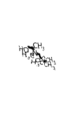 C[C@H](CO)N(C)CC(=O)OC(C)(C)C